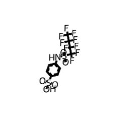 O=S(=O)(O)c1ccc(NS(=O)(=O)C(F)(F)C(F)(F)C(F)(F)C(F)(F)F)cc1